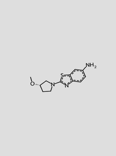 CO[C@H]1CCN(c2nc3ccc(N)cc3s2)C1